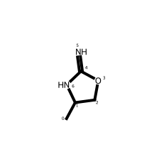 CC1COC(=N)N1